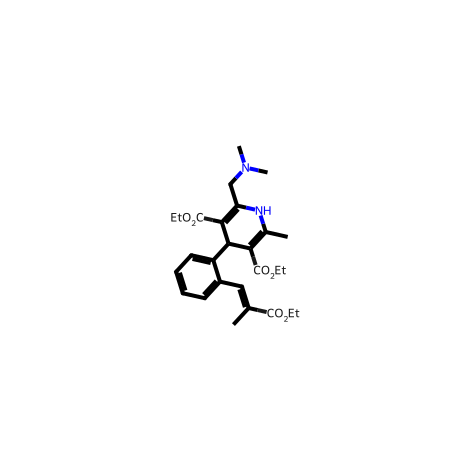 CCOC(=O)C(C)=Cc1ccccc1C1C(C(=O)OCC)=C(C)NC(CN(C)C)=C1C(=O)OCC